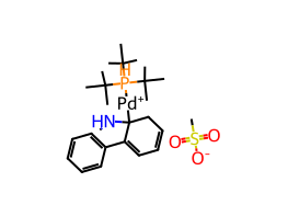 CN[C]1([Pd+][PH](C(C)(C)C)(C(C)(C)C)C(C)(C)C)CC=CC=C1c1ccccc1.CS(=O)(=O)[O-]